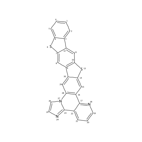 c1ccc2c(c1)sc1cc3c(cc12)sc1cc2c4ncccc4c4nccn4c2cc13